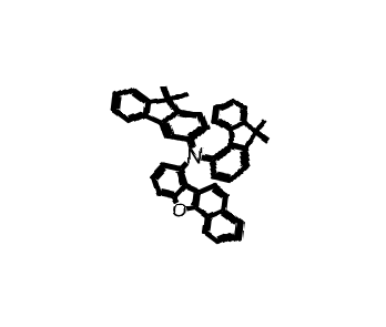 CC1(C)c2ccccc2-c2cc(N(c3cccc4c3-c3ccccc3C4(C)C)c3cccc4oc5c6ccccc6ccc5c34)ccc21